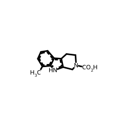 Cc1cccc2c3c([nH]c12)CN(C(=O)O)CC3